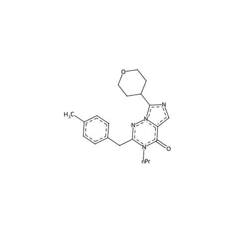 CCCn1c(Cc2ccc(C)cc2)nn2c(C3CCOCC3)ncc2c1=O